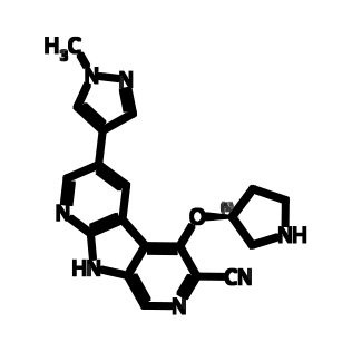 Cn1cc(-c2cnc3[nH]c4cnc(C#N)c(O[C@H]5CCNC5)c4c3c2)cn1